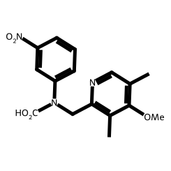 COc1c(C)cnc(CN(C(=O)O)c2cccc([N+](=O)[O-])c2)c1C